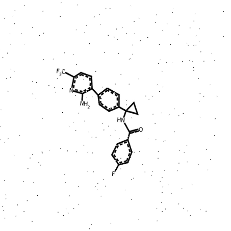 Nc1nc(C(F)(F)F)ccc1-c1ccc(C2(NC(=O)c3ccc(F)cc3)CC2)cc1